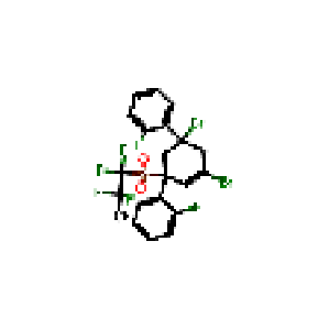 O=S(=O)(C1(c2ccccc2F)C=C(Br)[CH]C(Br)(c2ccccc2F)C1)C(F)(F)C(F)(F)C(F)(F)F